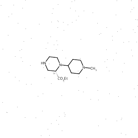 CCOC(=O)[C@@H]1CNCCN1C1CCN(C)CC1